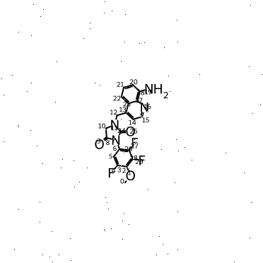 COc1c(F)cc(N2C(=O)CN(Cc3ccnc4c(N)cccc34)C2=O)c(F)c1F